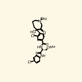 COC[C@H](NC(=O)c1ccc(C2(O)CCCN(O)CC2=O)c(Cl)c1)c1nc2cc(Cl)ccc2[nH]1